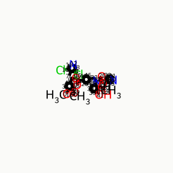 COc1ccc([C@H](Cc2c(Cl)cncc2Cl)OC(=O)c2ccc(CN(C(=O)O[C@H]3CN4CCC3CC4)c3cccc(O)c3OC)cc2)cc1OC